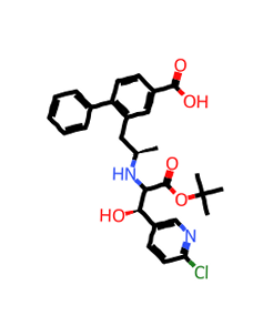 C[C@H](Cc1cc(C(=O)O)ccc1-c1ccccc1)NC(C(=O)OC(C)(C)C)[C@H](O)c1ccc(Cl)nc1